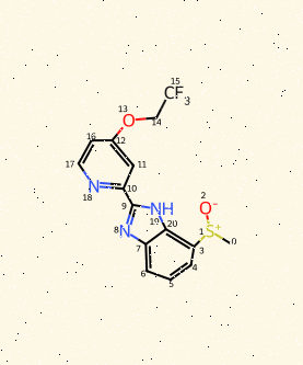 C[S+]([O-])c1cccc2nc(-c3cc(OCC(F)(F)F)ccn3)[nH]c12